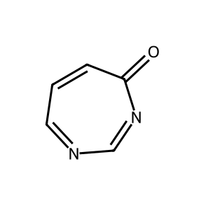 O=c1cccncn1